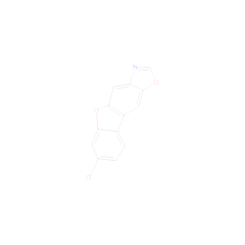 Clc1ccc2c(c1)oc1cc3ncoc3cc12